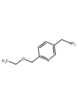 CCOCc1ccc(CN)cn1